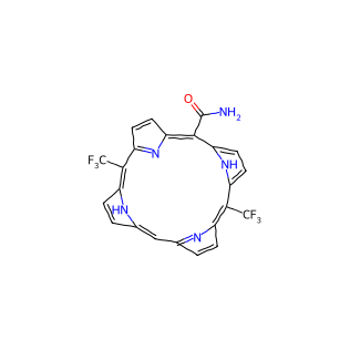 NC(=O)c1c2nc(c(C(F)(F)F)c3ccc(cc4nc(c(C(F)(F)F)c5ccc1[nH]5)C=C4)[nH]3)C=C2